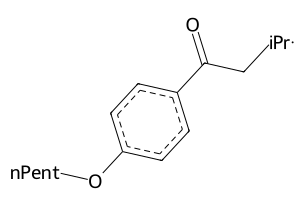 CCCCCOc1ccc(C(=O)C[C](C)C)cc1